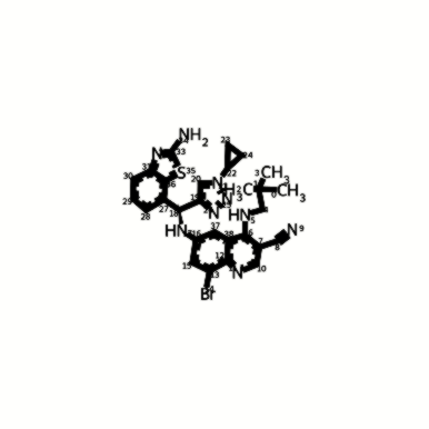 CC(C)(C)CNc1c(C#N)cnc2c(Br)cc(N[C@H](c3cn(C4CC4)nn3)c3cccc4nc(N)sc34)cc12